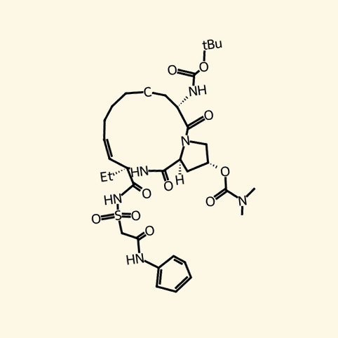 CC[C@]1(C(=O)NS(=O)(=O)CC(=O)Nc2ccccc2)/C=C\CCCCC[C@H](NC(=O)OC(C)(C)C)C(=O)N2C[C@H](OC(=O)N(C)C)C[C@H]2C(=O)N1